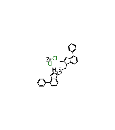 CC1=Cc2c(-c3ccccc3)cccc2C1C[SiH2]CC1C(C)=Cc2c(-c3ccccc3)cccc21.[Cl][Zr][Cl]